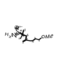 C=C(CCCOC)CC(C)(C)[S@+](N)[O-]